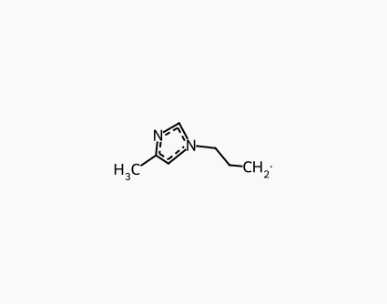 [CH2]CCn1cnc(C)c1